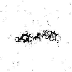 CC(C)(C)OC(=O)N1CC(COc2ccc(Cl)cc2Cl)C1